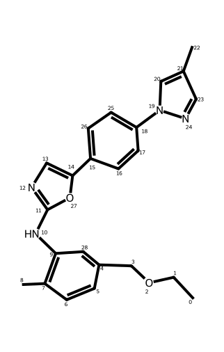 CCOCc1ccc(C)c(Nc2ncc(-c3ccc(-n4cc(C)cn4)cc3)o2)c1